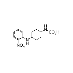 O=C(O)NC1CCC(Nc2ccccc2[N+](=O)[O-])CC1